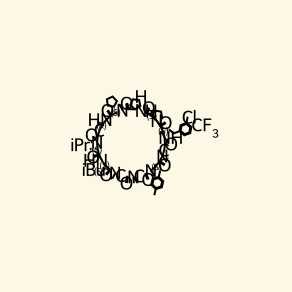 CC[C@H](C)[C@@H]1NC(=O)[C@H](CC(C)C)N(C)C(=O)C[C@@H](C)NC(=O)[C@H](C2CCCC2)N(C)C(=O)C2(CCCC2)NC(=O)[C@@H]2CCCN2C(=O)[C@H](CCc2ccc(C(F)(F)F)c(Cl)c2)NC(=O)CN(C)C(=O)[C@H](Cc2ccc(C)cc2)N(C)C(=O)CN(C)C(=O)CN(C)C1=O